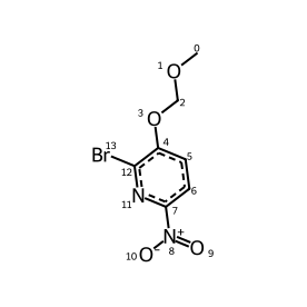 COCOc1ccc([N+](=O)[O-])nc1Br